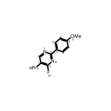 CCCc1cnc(-c2ccc(OC)cc2)nc1F